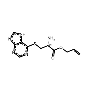 C=CCOC(=O)[C@@H](N)CSc1ncnc2nc[nH]c12